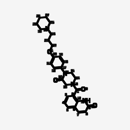 O=C(c1cccc2ccc(=O)[nH]c12)N1CCN(c2ccc(OCCCN3CCCCC3)cc2)C(=O)C1